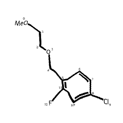 COCCOCc1ccc(Cl)cc1F